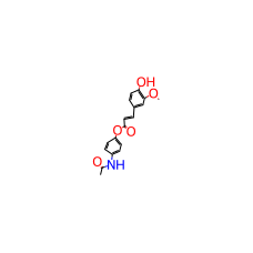 COc1cc(C=CC(=O)Oc2ccc(NC(C)=O)cc2)ccc1O